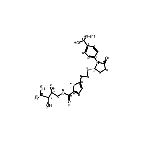 CCCCC[C@H](O)c1ccc(N2C(=O)CC[C@@H]2CCCc2ccc(C(=O)OC[C@H](O)[C@@H](O)[C@@H](O)CC)s2)cc1